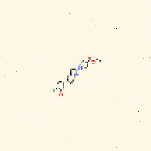 CCOC(=O)C1CCN(c2ccc3cc(-c4ccc(Cl)c(OC)c4)ccc3n2)CC1